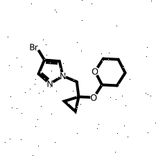 Brc1cnn(CC2(OC3CCCCO3)CC2)c1